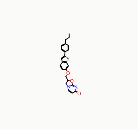 CCCc1ccc(-c2cc3ccc(OCC4Cn5ccc(=O)nc5O4)cc3s2)cc1